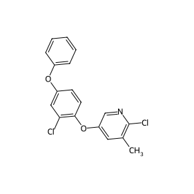 Cc1cc(Oc2ccc(Oc3ccccc3)cc2Cl)cnc1Cl